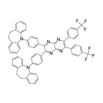 FC(F)(F)c1ccc(-c2nc3nc(-c4ccc(N5c6ccccc6CCc6ccccc65)cc4)c(-c4ccc(N5c6ccccc6CCc6ccccc65)cc4)nc3nc2-c2ccc(C(F)(F)F)cc2)cc1